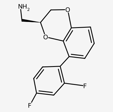 NC[C@H]1COc2cccc(-c3ccc(F)cc3F)c2O1